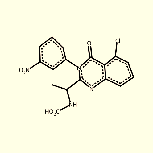 CC(NC(=O)O)c1nc2cccc(Cl)c2c(=O)n1-c1cccc([N+](=O)[O-])c1